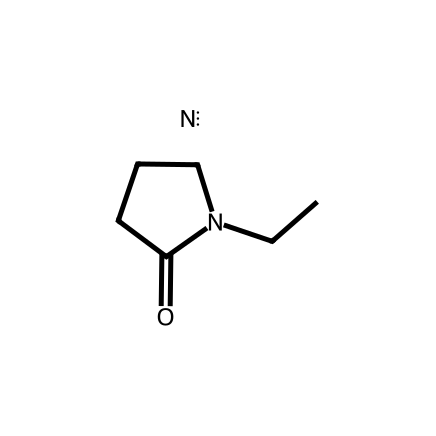 CCN1CCCC1=O.[N]